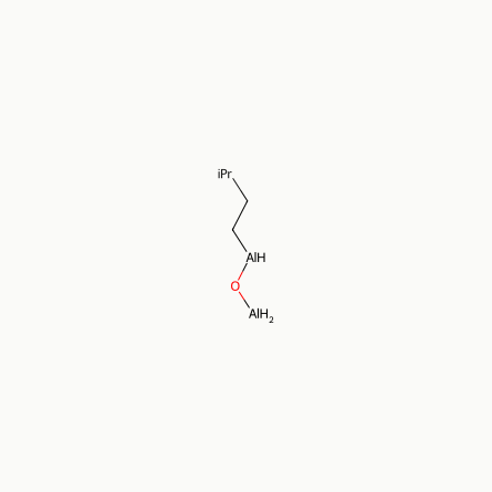 CC(C)C[CH2][AlH][O][AlH2]